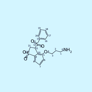 NCCCOc1cccc2c1C(S(=O)(=O)c1ccccc1)CS2(=O)=O